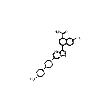 Cc1ccc2c(-c3cnn4cc(N5CCC(N6CCN(C)CC6)CC5)cnc34)ccc(C(N)=O)c2c1